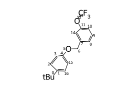 CC(C)(C)c1ccc(OCc2cccc(OC(F)(F)F)c2)cc1